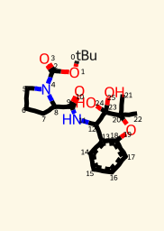 CC(C)(C)OC(=O)N1CCCC1C(=O)NC1c2ccccc2OC(C)(C)C1(O)O